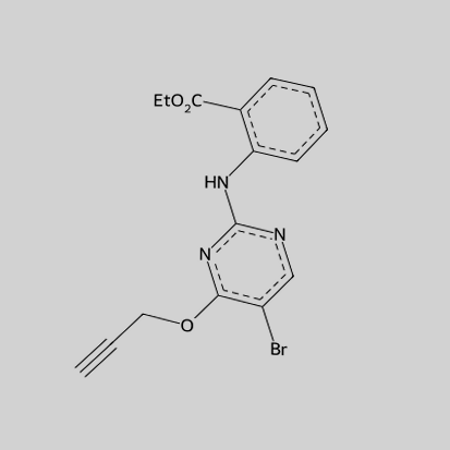 C#CCOc1nc(Nc2ccccc2C(=O)OCC)ncc1Br